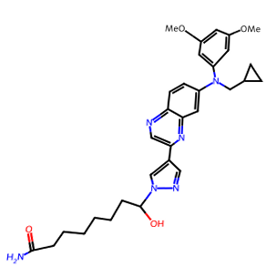 COc1cc(OC)cc(N(CC2CC2)c2ccc3ncc(-c4cnn(C(O)CCCCCCC(N)=O)c4)nc3c2)c1